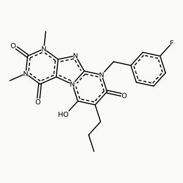 CCCc1c(O)n2c3c(=O)n(C)c(=O)n(C)c3nc2n(Cc2cccc(F)c2)c1=O